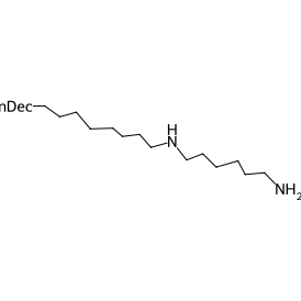 CCCCCCCCCCCCCCCCCCNCCCCCCN